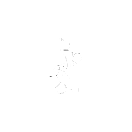 CC(C)(C)OC(=O)N1CCC2C[C@@]21C(=O)N1CC[C@@]2(C)c3cccc(O)c3C[C@@H]1C2(C)C